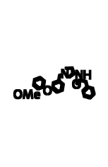 COc1ccccc1Oc1cccc(CN2CC[C@H](NC(=O)Cc3ccccc3)C2)c1